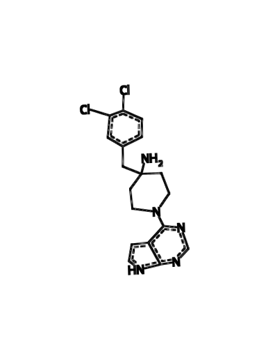 NC1(Cc2ccc(Cl)c(Cl)c2)CCN(c2ncnc3[nH]ccc23)CC1